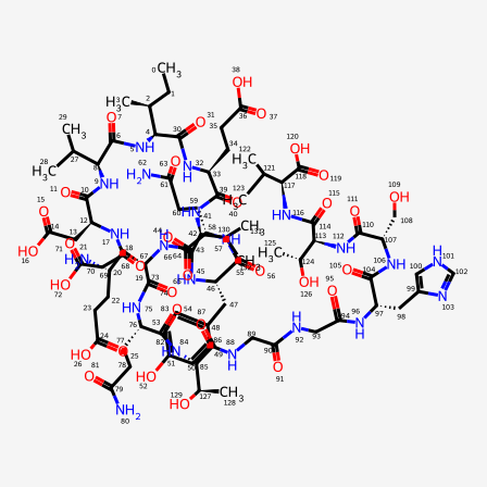 CC[C@H](C)[C@H](NC(=O)[C@@H](NC(=O)[C@H](CC(=O)O)NC(=O)[C@@H](N)CCC(=O)O)C(C)C)C(=O)N[C@@H](CCC(=O)O)C(=O)N[C@H](C(=O)N[C@@H](Cc1ccc(O)cc1)C(=O)N[C@@H](CCC(N)=O)C(=O)N[C@@H](CCC(=O)O)C(=O)N[C@@H](CCC(N)=O)C(=O)N[C@H](C(=O)NCC(=O)NCC(=O)N[C@@H](Cc1c[nH]cn1)C(=O)N[C@@H](CO)C(=O)N[C@H](C(=O)N[C@H](C(=O)O)C(C)C)[C@@H](C)O)[C@@H](C)O)C(C)C